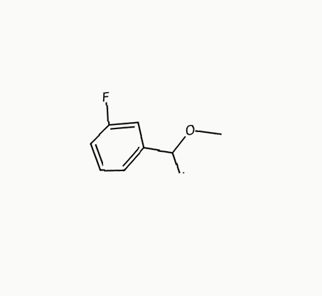 [CH2]C(OC)c1cccc(F)c1